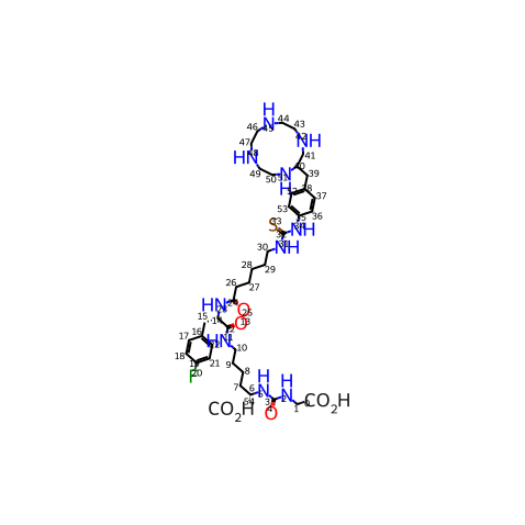 O=C(O)CNC(=O)N[C@@H](CCCCNC(=O)[C@H](Cc1ccc(F)cc1)NC(=O)CCCCCNC(=S)Nc1ccc(CC2CNCCNCCNCCN2)cc1)C(=O)O